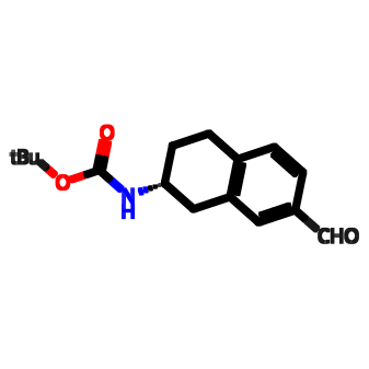 CC(C)(C)OC(=O)N[C@@H]1CCc2ccc(C=O)cc2C1